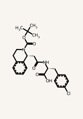 CC(C)(C)OC(=O)N1CCc2ccccc2[C@H]1CC(=O)N[C@H](Cc1ccc(Cl)cc1)C(=O)O